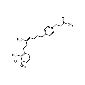 CC(=O)CCc1ccc(OCCC=C(C)CCC2=C(C)C(C)(C)CCC2)cc1